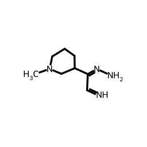 CN1CCCC(/C(C=N)=N/N)C1